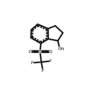 O=S(=O)(c1cc[c]c2c1C(O)CC2)C(F)(F)F